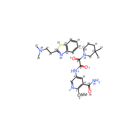 COc1ncc(NC(=O)C(=O)N2CC(C)(C)CC[C@H]2c2ccc3sc(CCN(C)C)nc3c2)cc1C(N)=O